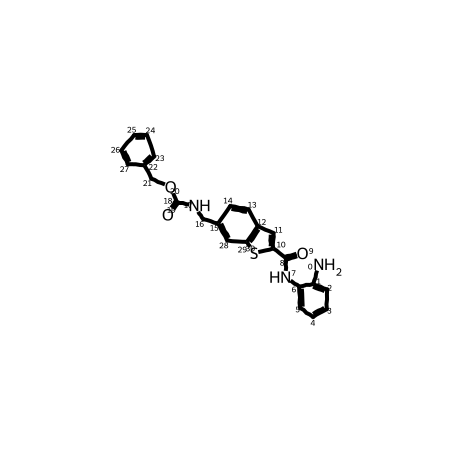 Nc1ccccc1NC(=O)c1cc2ccc(CNC(=O)OCc3ccccc3)cc2s1